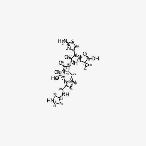 Nc1nc(C(=NOC2(C(=O)O)CC2)C(=O)N[C@@H]2C(=O)N(S(=O)(=O)O)[C@@H]2Cn2ncc(CNC3CCNC3)n2)cs1